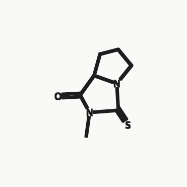 CN1C(=O)C2CCCN2C1=S